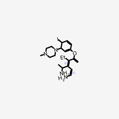 C=C(OC1=CC(N2CCN(C)CC2)C(I)C=C1)/C(CC)=C(\C=C/N)C(C)N